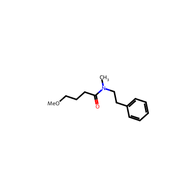 COCCCC(=O)N(C)CCc1ccccc1